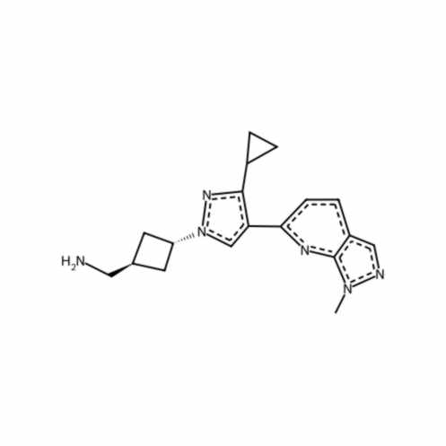 Cn1ncc2ccc(-c3cn([C@H]4C[C@H](CN)C4)nc3C3CC3)nc21